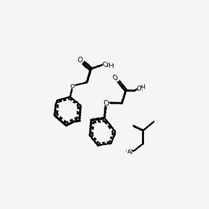 CC(C)[CH2][Al].O=C(O)COc1ccccc1.O=C(O)COc1ccccc1